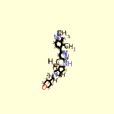 [2H]C([2H])(C1CCOCC1)N1C[C@H]2CC(Nc3nnc(-c4ccc5nn(C)cc5c4C)cc3C)C[C@H]2C1